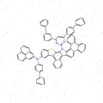 C1=Cc2cc(N(c3ccc(-c4ccccc4)cc3)c3ccc4sc5c(c4c3)c3ccccc3c3c4ccc6c7ccccc7c7ccccc7c6c4n(-c4nc(-c6ccc(-c7ccccc7)cc6)cc(-c6cccc(-c7ccccc7)c6)n4)c53)cc3cccc(c23)C1